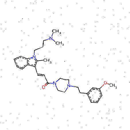 COc1cccc(CCN2CCN(C(=O)/C=C/c3c(C)n(CCCN(C)C)c4ccccc34)CC2)c1